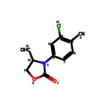 N#Cc1ccc(N2C(=O)OCC2C=O)cc1Cl